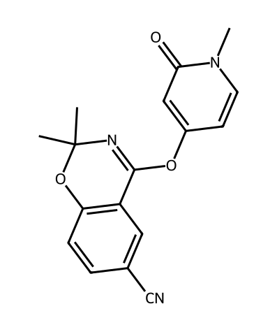 Cn1ccc(OC2=NC(C)(C)Oc3ccc(C#N)cc32)cc1=O